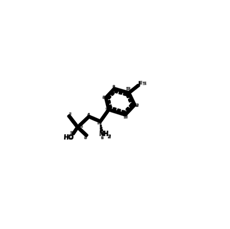 CC(C)(O)C[C@@H](N)c1ccc(F)cc1